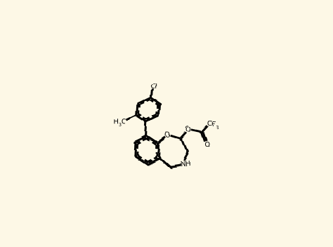 Cc1cc(Cl)ccc1-c1cccc2c1OC(OC(=O)C(F)(F)F)CNC2